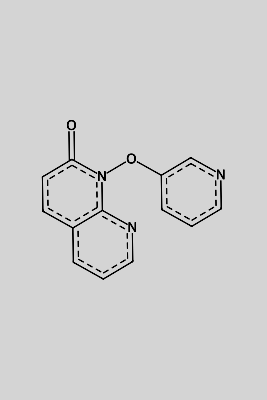 O=c1ccc2cccnc2n1Oc1cccnc1